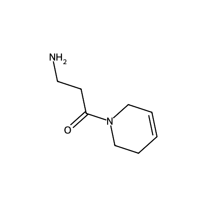 NCCC(=O)N1CC=CCC1